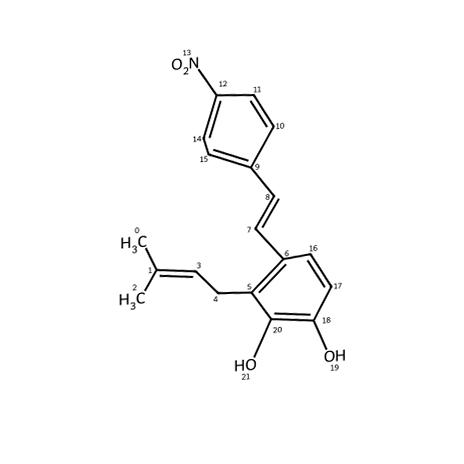 CC(C)=CCc1c(C=Cc2ccc([N+](=O)[O-])cc2)ccc(O)c1O